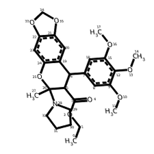 CCOC(=O)C1C(c2cc(OC)c(OC)c(OC)c2)c2cc3c(cc2OC1(C)N1CCCC1)OCO3